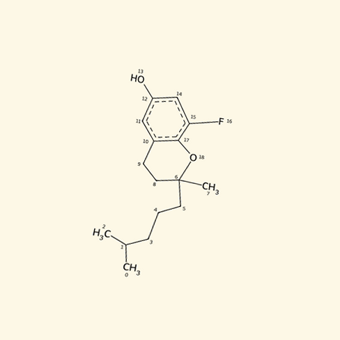 CC(C)CCCC1(C)CCc2cc(O)cc(F)c2O1